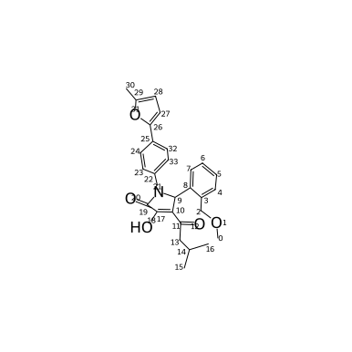 COCc1ccccc1C1C(C(=O)CC(C)C)=C(O)C(=O)N1c1ccc(-c2ccc(C)o2)cc1